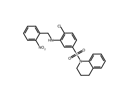 O=[N+]([O-])c1ccccc1CNc1cc(S(=O)(=O)N2CCCc3ccccc32)ccc1Cl